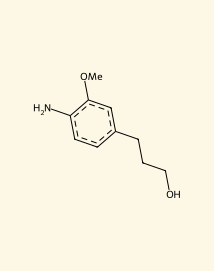 COc1cc(CCCO)ccc1N